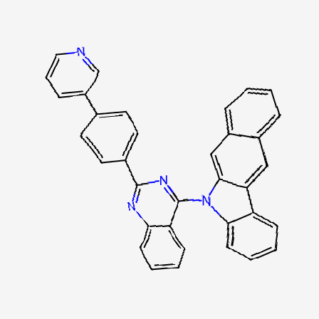 c1cncc(-c2ccc(-c3nc(-n4c5ccccc5c5cc6ccccc6cc54)c4ccccc4n3)cc2)c1